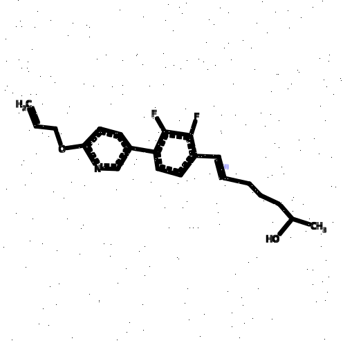 C=CCOc1ccc(-c2ccc(/C=C/CCCC(C)O)c(F)c2F)cn1